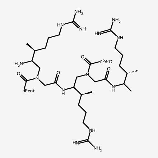 CCCCCC(=O)N(CC(=O)NC(CN(CC(=O)NC(C)[C@@H](C)CCCNC(=N)N)C(=O)CCCCC)[C@@H](C)CCCNC(=N)N)CC(N)[C@@H](C)CCCNC(=N)N